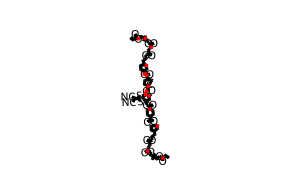 C=CC(=O)OCC(C)(C)COC(=O)CCC(=O)OCCc1ccc(OC(=O)C2CCC(C(=O)Oc3cc(C)c(OC(=O)C4CCC(C(=O)Oc5ccc(CCOC(=O)CCC(=O)OCC(C)(C)COC(=O)C=C)cc5)CC4)c4c3SC(=C(C#N)C#N)S4)CC2)cc1